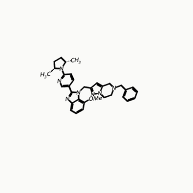 COc1cccc2nc(-c3ccc(N4[C@@H](C)CC[C@@H]4C)nc3)n(Cc3cc4n(n3)CCN(Cc3ccccc3)C4)c12